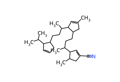 CC1=CC(C(C)CCC2CC=CC2C(C)C)C(CCC(C)C2C=C(C#N)CC2C)C1